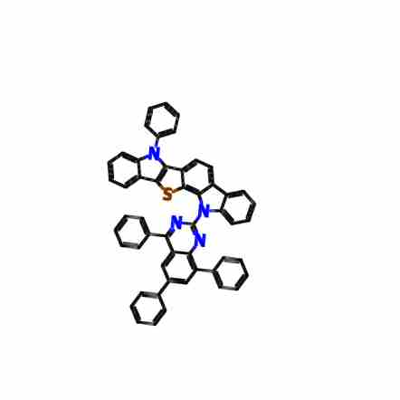 c1ccc(-c2cc(-c3ccccc3)c3nc(-n4c5ccccc5c5ccc6c(sc7c8ccccc8n(-c8ccccc8)c67)c54)nc(-c4ccccc4)c3c2)cc1